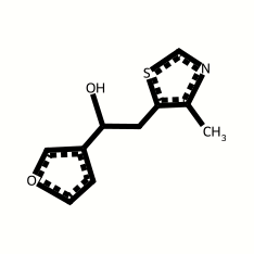 Cc1ncsc1CC(O)c1ccoc1